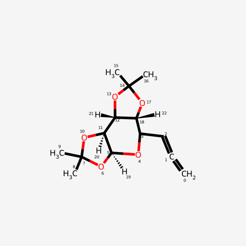 C=C=CC1O[C@H]2OC(C)(C)O[C@H]2[C@@H]2OC(C)(C)O[C@H]12